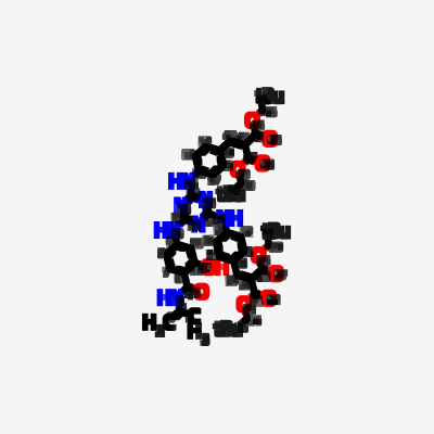 C=C(C)NC(=O)c1ccc(Nc2nc(Nc3ccc(C=C(C(=O)OCC(C)(C)C)C(=O)OCC(C)(C)C)cc3)nc(Nc3ccc(C=C(C(=O)OCC(C)(C)C)C(=O)OCC(C)(C)C)cc3)n2)cc1O